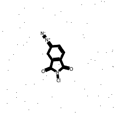 [N-]=[N+]=C1C=CC2=C(C1)C(=O)N(Cl)C2=O